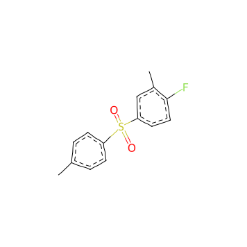 Cc1ccc(S(=O)(=O)c2ccc(F)c(C)c2)cc1